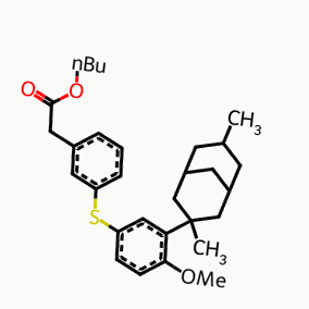 CCCCOC(=O)Cc1cccc(Sc2ccc(OC)c(C3(C)CC4CC(C)CC(C4)C3)c2)c1